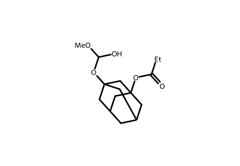 CCC(=O)OC12CC3CC(C1)CC(OC(O)OC)(C3)C2